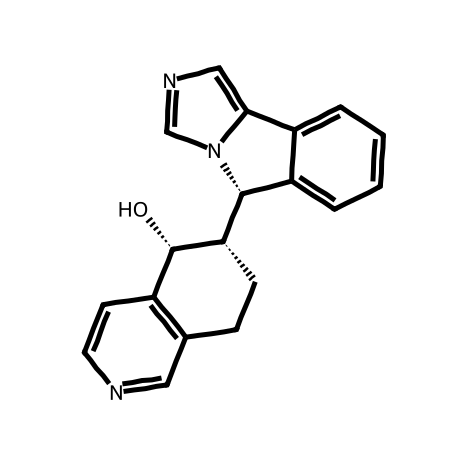 O[C@H]1c2ccncc2CC[C@H]1[C@H]1c2ccccc2-c2cncn21